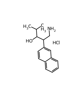 CC(C)C(O)C(CN)c1ccc2ccccc2c1.Cl